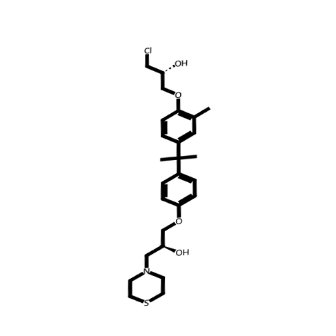 Cc1cc(C(C)(C)c2ccc(OC[C@@H](O)CN3CCSCC3)cc2)ccc1OC[C@@H](O)CCl